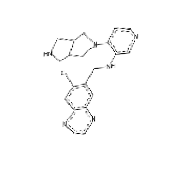 Clc1cc2nccnc2cc1CNc1cnccc1N1CC2CNCC2C1